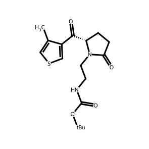 Cc1cscc1C(=O)[C@@H]1CCC(=O)N1CCNC(=O)OC(C)(C)C